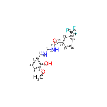 COc1cccc(/C=N/CNC2OC2c2cccc(C(F)(F)F)c2)c1O